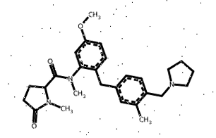 COc1c[c]c(Cc2ccc(CN3CCCC3)c(C)c2)c(N(C)C(=O)C2CCC(=O)N2C)c1